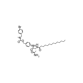 CCCCCCCCCCCCCC(=O)N[C@H](CC(N)=O)C(=O)Nc1ccc(COC(=O)N(C)Cc2ccc(Br)cc2)cc1